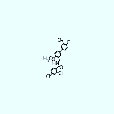 COc1ccc(-c2ccc(F)c(C=O)c2)cc1CNC(=O)c1ccc(Cl)cc1Cl